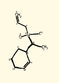 C=CC[Si](Cl)(Cl)C(C)C1C=CCCC1